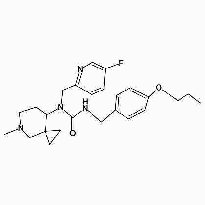 CCCOc1ccc(CNC(=O)N(Cc2ccc(F)cn2)C2CCN(C)CC23CC3)cc1